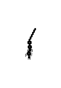 CCCCCCCCCCCc1ccc(-c2ccc(C(=O)Oc3cc(F)c(C#N)c(F)c3)cc2)cc1